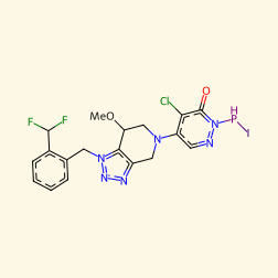 COC1CN(c2cnn(PI)c(=O)c2Cl)Cc2nnn(Cc3ccccc3C(F)F)c21